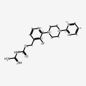 N=C(N)NC(=O)OCc1ccnc(N2CCN(c3ncccn3)CC2)c1F